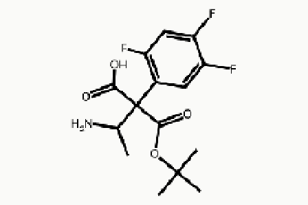 CC(N)C(C(=O)O)(C(=O)OC(C)(C)C)c1cc(F)c(F)cc1F